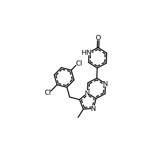 Cc1nc2cnc(-c3ccc(=O)[nH]c3)cn2c1Cc1cc(Cl)ccc1Cl